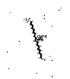 CCCCCCCCCCCCCCCCCC[CH2][Na].O=S(=O)(O)O